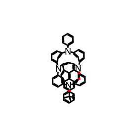 CC(C)(C)c1cc2ccc3c4cc(c5ccc(c1)c2c35)N1c2cccc(c2)N(c2ccccc2)c2cccc(c2)N4c2cccc(c2)N(c2ccccc2)c2cccc1c2